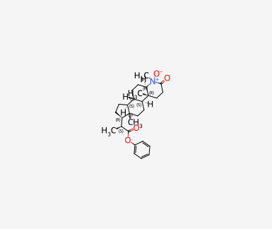 C[C@H](C(=O)Oc1ccccc1)[C@H]1CC[C@H]2[C@@H]3CC[C@@H]4[C@](C)(CCC(=O)[N+]4(C)[O-])[C@H]3CC[C@]12C